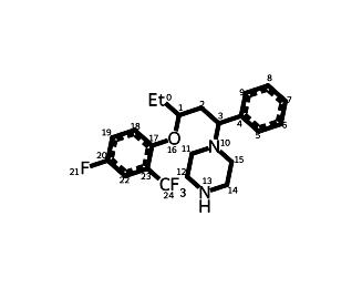 CCC(CC(c1ccccc1)N1CCNCC1)Oc1ccc(F)cc1C(F)(F)F